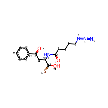 [N-]=[N+]=NCCCCC(=O)NC(CC(=O)c1ccccc1)C(O)=S